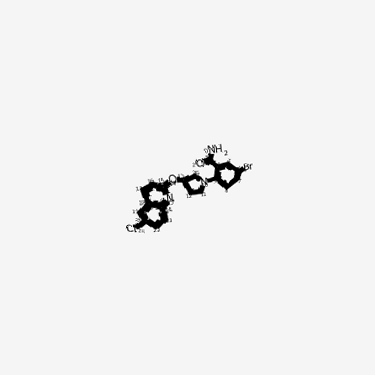 NC(=O)c1cc(Br)ccc1N1CCC(Oc2ccc3cc(Cl)ccc3n2)C1